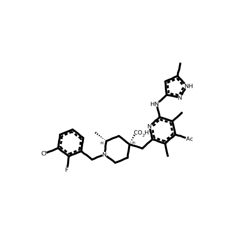 CC(=O)c1c(C)c(C[C@@]2(C(=O)O)CCN(Cc3cccc(Cl)c3F)[C@H](C)C2)nc(Nc2cc(C)[nH]n2)c1C